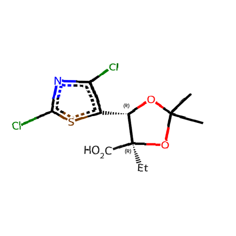 CC[C@@]1(C(=O)O)OC(C)(C)O[C@H]1c1sc(Cl)nc1Cl